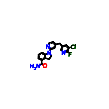 NC(=O)c1cccc2c1CCN2c1cc(Cc2cnc(F)c(Cl)c2)ccn1